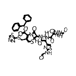 O=CNNC(=O)C(=O)NC(C(=O)NC1C(=O)N2C(C(=O)OC(c3ccccc3)c3ccccc3)=C(CSc3nncs3)CS[C@@H]12)c1csc(NC=O)n1